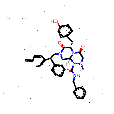 C=C/C=C\C(=C/C)C(CN1C[C@H]2N(C(=O)CN(C)N2C(=O)NCc2ccccc2)[C@@H](Cc2ccc(O)cc2)C1=O)c1ccccc1